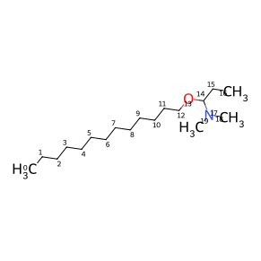 CCCCCCCCCCCCCOC(CC)N(C)C